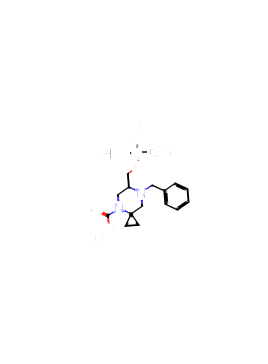 CC(C)(C)OC(=O)N1CC(CO[Si](C)(C)C(C)(C)C)N(Cc2ccccc2)CC12CC2